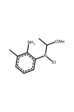 CCN(c1cccc(C)c1N)C(C)OC